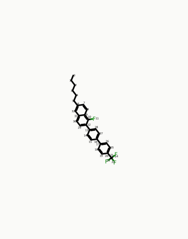 CCCCCCc1ccc2c(F)c(-c3ccc(-c4ccc(C(F)(F)F)cc4)cc3)ccc2c1